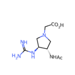 CC(=O)N[C@H]1CN(CC(=O)O)C[C@@H]1NC(=N)N